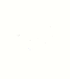 COC(=N)c1ccoc1